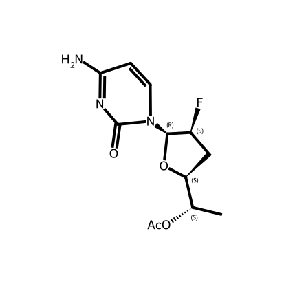 CC(=O)O[C@@H](C)[C@@H]1C[C@H](F)[C@H](n2ccc(N)nc2=O)O1